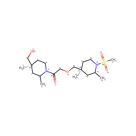 CC1C[C@@](C)(CO)CCN1C(=O)COC[C@@]1(C)CCN(S(C)(=O)=O)C(C)C1